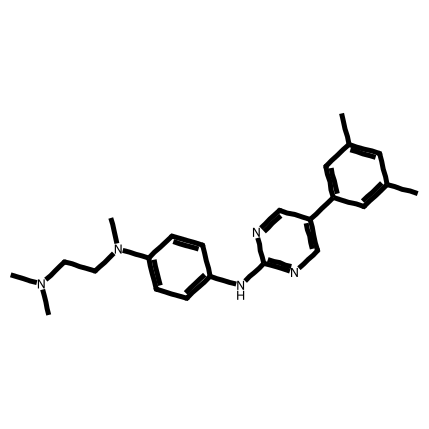 Cc1cc(C)cc(-c2cnc(Nc3ccc(N(C)CCN(C)C)cc3)nc2)c1